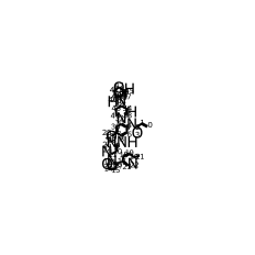 C=CC(=O)Nc1cc(Nc2cc(N3OCC[C@@H]3c3ccc(C)nc3)ncn2)c(OC)cc1N1CCC(N2C[C@H]3C[C@@H]2CO3)CC1